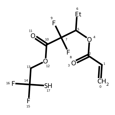 C=CC(=O)OC(CC)C(F)(F)C(=O)OCC(F)(F)S